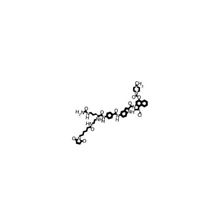 CN1CCN(C(=O)Oc2cc3c(c4ccccc24)[C@H](CCl)CN3C(=O)c2cc3cc(NC(=O)c4ccc(NC(=O)[C@H](CCCNC(N)=O)NCCNC(=O)CCCCCN5C(=O)C=CC5=O)cc4)ccc3[nH]2)CC1